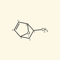 CC1CC2C=CC1O2